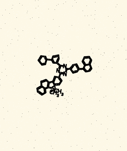 C[Si]1(C)c2ccc(-c3nc(-c4ccc(-c5cccc6ccccc56)cc4)nc(-c4cccc(-c5ccccc5)c4)n3)cc2-c2ccc3ccccc3c21